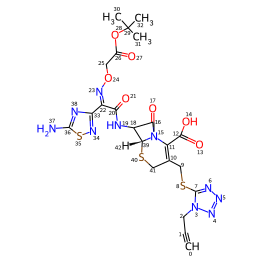 C#CCn1nnnc1SCC1=C(C(=O)O)N2C(=O)C(NC(=O)/C(=N\OCC(=O)OC(C)(C)C)c3nsc(N)n3)[C@H]2SC1